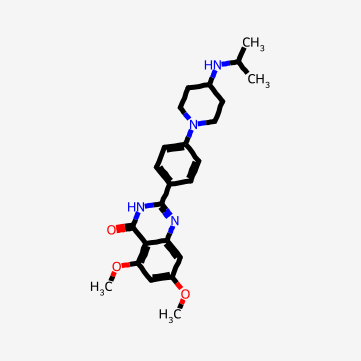 COc1cc(OC)c2c(=O)[nH]c(-c3ccc(N4CCC(NC(C)C)CC4)cc3)nc2c1